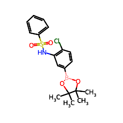 CC1(C)OB(c2ccc(Cl)c(NS(=O)(=O)c3ccccc3)c2)OC1(C)C